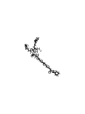 [N-]=[N+]=NCCCC[C@H](NC(=O)[C@@H](N)CCCCN=[N+]=[N-])C(=O)NCCOCCOCCOCCOCCC(=O)OCc1ccccc1